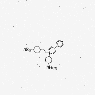 CCCCCCC1CCC(C2(CCC3CCC(CCCC)CC3)C=CC(c3ccccc3)C=C2)CC1